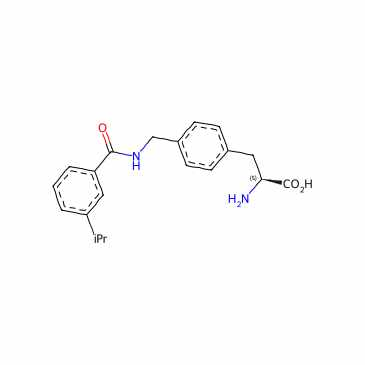 CC(C)c1cccc(C(=O)NCc2ccc(C[C@H](N)C(=O)O)cc2)c1